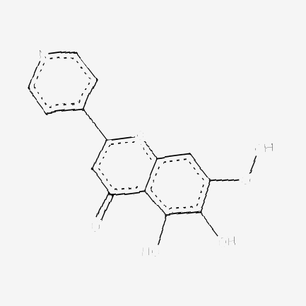 COc1cc2oc(-c3ccncc3)cc(=O)c2c(O)c1O